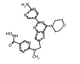 CN(Cc1cc2nc(-c3cnc(N)nc3)nc(N3CCOCC3)c2s1)c1ncc(C(=O)NO)cn1